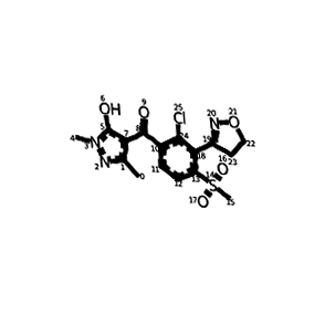 Cc1nn(C)c(O)c1C(=O)c1ccc(S(C)(=O)=O)c(C2=NOCC2)c1Cl